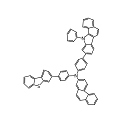 c1ccc(-n2c3cc(-c4ccc(N(c5ccc(-c6ccc7c(c6)sc6ccccc67)cc5)c5ccc6c(ccc7ccccc76)c5)cc4)ccc3c3ccc4ccccc4c32)cc1